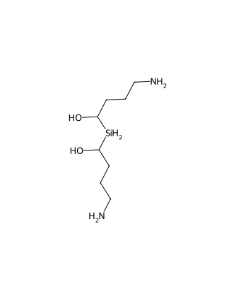 NCCCC(O)[SiH2]C(O)CCCN